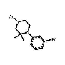 CC(=O)N1CCN(c2cccc(C(C)C)c2)C(C)(C)C1